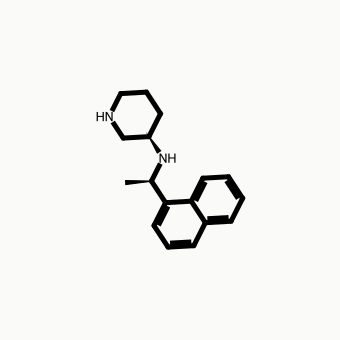 C[C@@H](N[C@@H]1CCCNC1)c1cccc2ccccc12